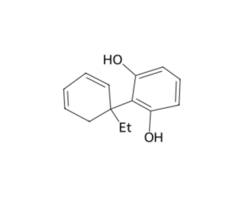 CCC1(c2c(O)cccc2O)C=CC=CC1